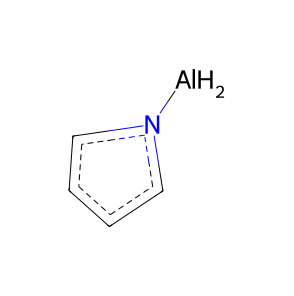 [AlH2][n]1cccc1